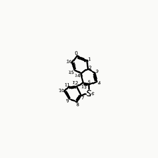 C1=CC2C=Cc3sc4ccccc4c3C2C=C1